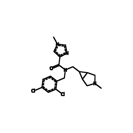 CN1CC2C(C1)C2CN(Cc1ccc(Cl)cc1Cl)C(=O)c1cn(C)cn1